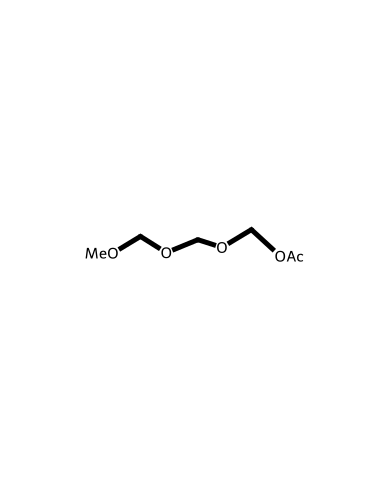 COCOCOCOC(C)=O